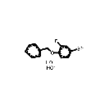 [B+2]c1ccc(OCc2ccccc2)c(F)c1.[OH-].[OH-]